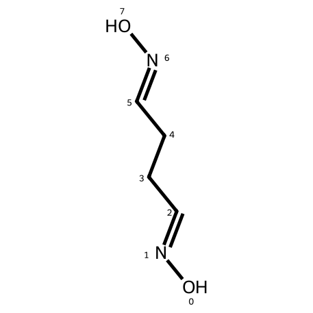 ON=CCCC=NO